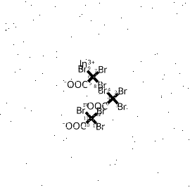 O=C([O-])C(Br)(Br)Br.O=C([O-])C(Br)(Br)Br.O=C([O-])C(Br)(Br)Br.[In+3]